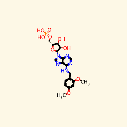 COc1ccc(CNc2ncnc3c2ncn3[C@@H]2O[C@H](COP(=O)(O)O)[C@@H](O)[C@H]2O)c(OC)c1